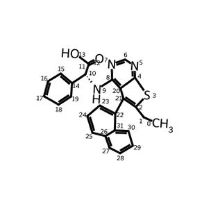 CCc1sc2ncnc(N[C@@H](C(=O)O)c3ccccc3)c2c1-c1cccc2ccccc12